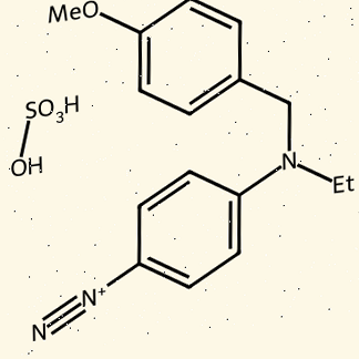 CCN(Cc1ccc(OC)cc1)c1ccc([N+]#N)cc1.O=S(=O)(O)O